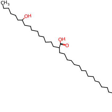 CCCCCCCCCCCCCCCCC(CCCCCCCCCC(O)CCCCCC)C(=O)O